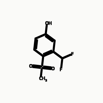 CS(=O)(=O)c1ccc(O)cc1C(F)F